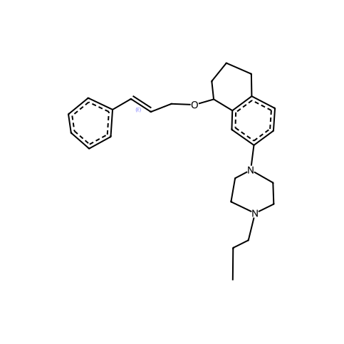 CCCN1CCN(c2ccc3c(c2)C(OC/C=C/c2ccccc2)CCC3)CC1